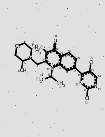 Cc1c(CN2[C@@H](C)COC[C@@H]2C)n(C(C)C)c2cc(-c3nc(Cl)ncc3Cl)ccc2c1=O